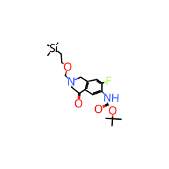 CC(C)(C)OC(=O)Nc1cc2c(cc1F)CN(COCC[Si](C)(C)C)CC2=O